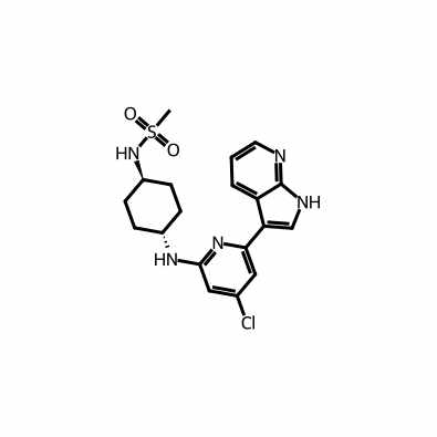 CS(=O)(=O)N[C@H]1CC[C@H](Nc2cc(Cl)cc(-c3c[nH]c4ncccc34)n2)CC1